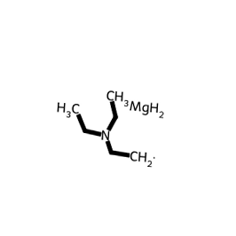 [CH2]CN(CC)CC.[MgH2]